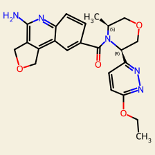 CCOc1ccc([C@@H]2COC[C@H](C)N2C(=O)c2ccc3nc(N)c4c(c3c2)COC4)nn1